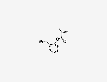 C=C(C)C(=O)Oc1ccccc1CC(C)C